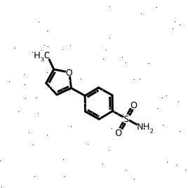 Cc1ccc(-c2ccc(S(N)(=O)=O)cc2)o1